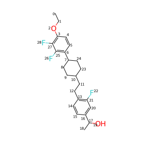 CCOc1ccc(C2CCC(CCc3ccc(C(C)O)cc3F)CC2)c(F)c1F